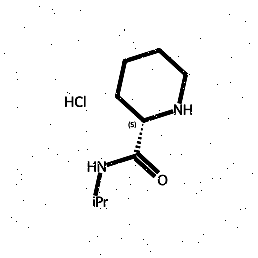 CC(C)NC(=O)[C@@H]1CCCCN1.Cl